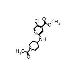 COC(=O)c1cc(NC2CCN(C(C)=O)CC2)ncc1Cl